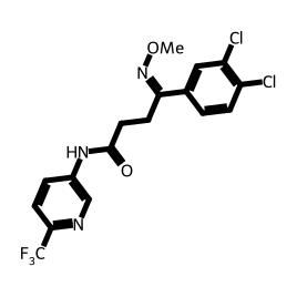 CON=C(CCC(=O)Nc1ccc(C(F)(F)F)nc1)c1ccc(Cl)c(Cl)c1